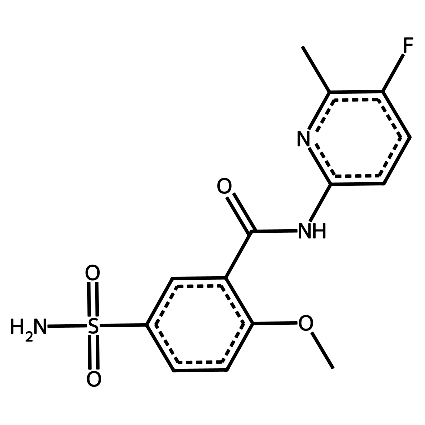 COc1ccc(S(N)(=O)=O)cc1C(=O)Nc1ccc(F)c(C)n1